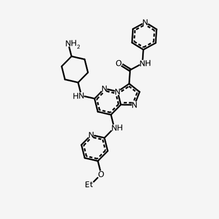 CCOc1ccnc(Nc2cc(NC3CCC(N)CC3)nn3c(C(=O)Nc4ccncc4)cnc23)c1